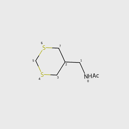 CC(=O)NCC1CSCSC1